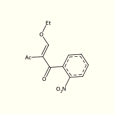 CCOC=C(C(C)=O)C(=O)c1ccccc1[N+](=O)[O-]